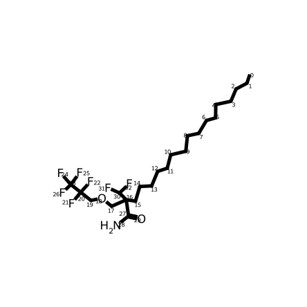 CCCCCCCCCCCCCCCCC(COCC(F)(F)C(F)(F)F)(C(N)=O)C(F)F